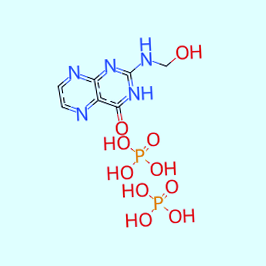 O=P(O)(O)O.O=P(O)(O)O.O=c1[nH]c(NCO)nc2nccnc12